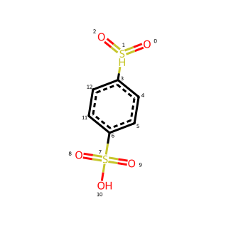 O=[SH](=O)c1ccc(S(=O)(=O)O)cc1